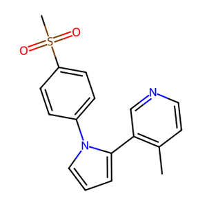 Cc1ccncc1-c1cccn1-c1ccc(S(C)(=O)=O)cc1